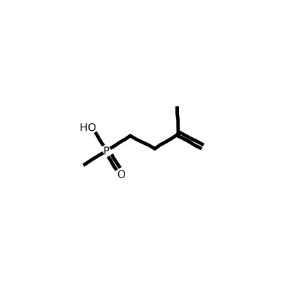 C=C(C)CCP(C)(=O)O